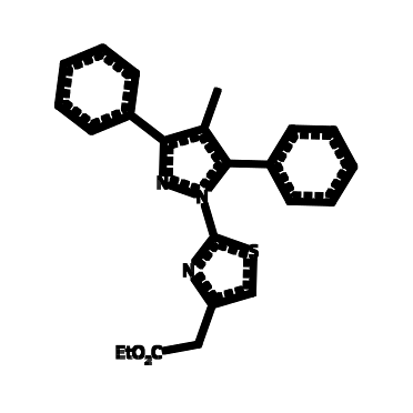 CCOC(=O)Cc1csc(-n2nc(-c3ccccc3)c(C)c2-c2ccccc2)n1